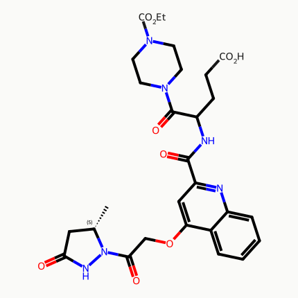 CCOC(=O)N1CCN(C(=O)C(CCC(=O)O)NC(=O)c2cc(OCC(=O)N3NC(=O)C[C@@H]3C)c3ccccc3n2)CC1